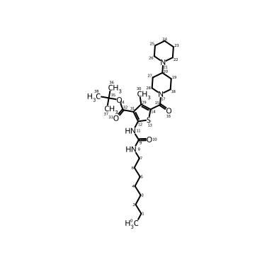 CCCCCCCCNC(=O)Nc1sc(C(=O)N2CCC(N3CCCCC3)CC2)c(C)c1C(=O)OC(C)(C)C